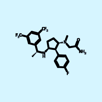 C[C@@H](N[C@H]1CC[C@H](N(C)CC(N)=O)[C@H]1c1ccc(F)cc1)c1cc(C(F)(F)F)cc(C(F)(F)F)c1